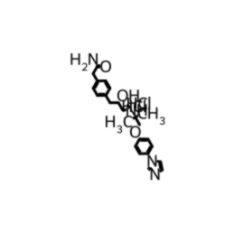 CC(C)(COc1ccc(-n2ccnc2)cc1)NCC(O)Cc1ccc(CC(N)=O)cc1.Cl.Cl